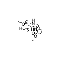 C=CCOC(=O)c1cccc(C)c1NC(=O)C1CC(C(C(=O)OCC=C)C(O)=S)CN1